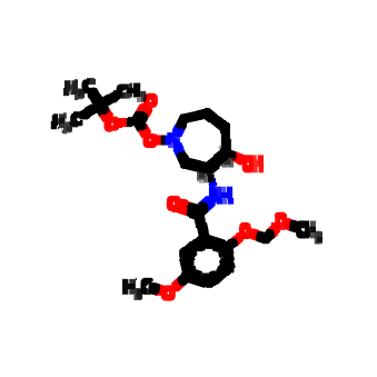 COCOc1ccc(OC)cc1C(=O)N[C@@H]1CN(OC(=O)OC(C)(C)C)CCC[C@H]1O